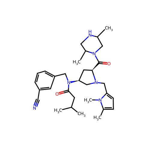 Cc1ccc(CN2C[C@@H](N(Cc3cccc(C#N)c3)C(=O)CC(C)C)C[C@H]2C(=O)N2CC(C)NCC2C)n1C